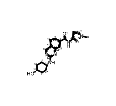 Cn1ncc(NC(=O)c2ccc3cnc(N[C@H]4CC[C@H](O)CC4)nc3c2)n1